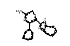 Nc1cnc(-c2nc3cccnc3[nH]2)c(-c2ccccc2)n1